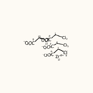 O=C([O-])CCl.O=C([O-])CCl.O=C([O-])CCl.O=C([O-])CCl.[Zr+4]